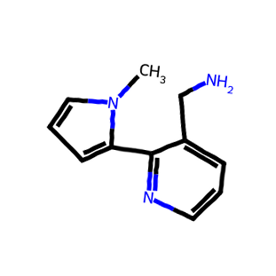 Cn1cccc1-c1ncccc1CN